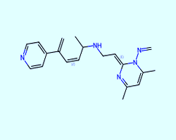 C=NN1C(C)=CC(C)=N/C1=C\CNC(C)/C=C\C(=C)c1ccncc1